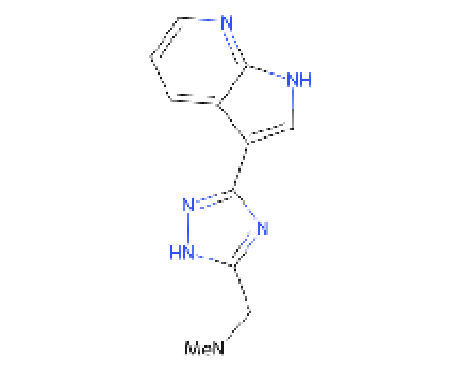 CNCc1nc(-c2c[nH]c3ncccc23)n[nH]1